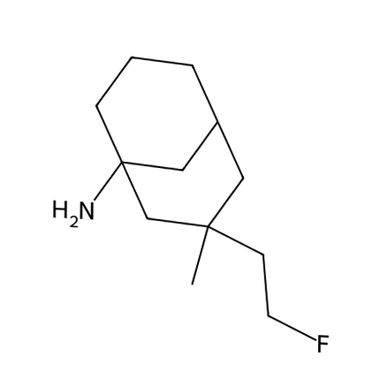 CC1(CCF)CC2CCCC(N)(C2)C1